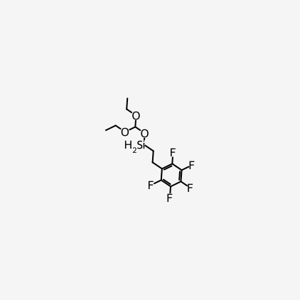 CCOC(OCC)O[SiH2]CCc1c(F)c(F)c(F)c(F)c1F